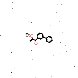 C=C(OCC)C(=O)c1cccc(-c2ccccc2)c1